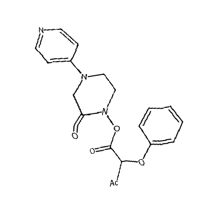 CC(=O)C(Oc1ccccc1)C(=O)ON1CCN(c2ccncc2)CC1=O